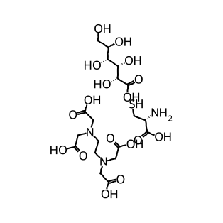 N[C@@H](CS)C(=O)O.O=C(O)CN(CCN(CC(=O)O)CC(=O)O)CC(=O)O.O=C(O)[C@H](O)[C@@H](O)[C@H](O)[C@H](O)CO